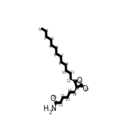 CCCCCCCCCCCCC[C@H]1OC(=O)[C@H]1CCCCCC(N)=O